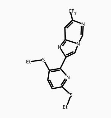 CCSc1ccc(SCC)c(-c2cn3cnc(C(F)(F)F)cc3n2)n1